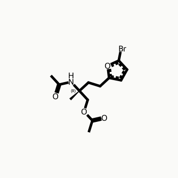 CC(=O)N[C@](C)(CCc1ccc(Br)o1)COC(C)=O